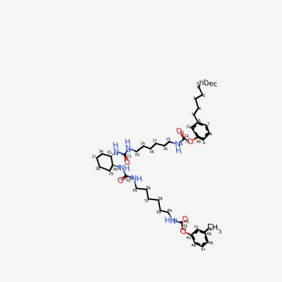 CCCCCCCCCCCCCCCc1cccc(OC(=O)NCCCCCCNC(=O)N[C@H]2CCCC[C@@H]2NC(=O)NCCCCCCNC(=O)Oc2cccc(C)c2)c1